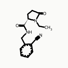 CCN1C(=O)CC[C@H]1C(=O)NCc1ccccc1C#N